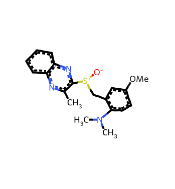 COc1ccc(N(C)C)c(C[S+]([O-])c2nc3ccccc3nc2C)c1